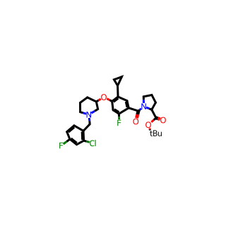 CC(C)(C)OC(=O)C1CCCN1C(=O)c1cc(C2CC2)c(OC2CCCN(Cc3ccc(F)cc3Cl)C2)cc1F